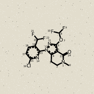 CN1CCc2c(c(OC(F)F)nn2-c2nc(Cl)ccc2C(F)F)C1=O